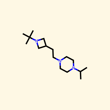 CC(C)N1CCN(CCC2CN(C(C)(C)C)C2)CC1